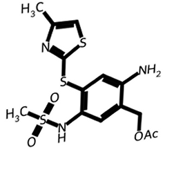 CC(=O)OCc1cc(NS(C)(=O)=O)c(Sc2nc(C)cs2)cc1N